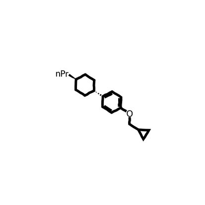 CCC[C@H]1CC[C@H](c2ccc(OCC3CC3)cc2)CC1